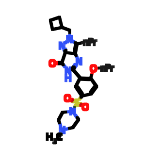 CCCOc1ccc(S(=O)(=O)N2CCN(C)CC2)cc1-c1nc2c(CCC)n(CC3CCC3)nc2c(=O)[nH]1